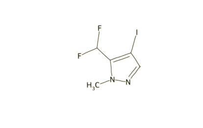 Cn1ncc(I)c1C(F)F